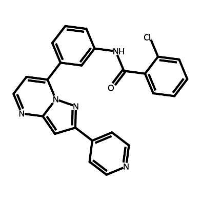 O=C(Nc1cccc(-c2ccnc3cc(-c4ccncc4)nn23)c1)c1ccccc1Cl